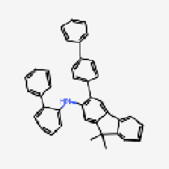 CC1(C)c2ccccc2-c2cc(-c3ccc(-c4ccccc4)cc3)c(Nc3ccccc3-c3ccccc3)cc21